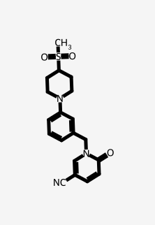 CS(=O)(=O)C1CCN(c2cccc(Cn3cc(C#N)ccc3=O)c2)CC1